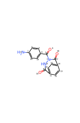 Nc1ccc(C(=O)N2NC(=O)c3ccc(cc3)C2=O)cc1